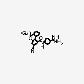 COCOC(=O)c1ccccc1-c1ccc(C#N)cc1C(=O)Nc1ccc(C(=N)N)cc1